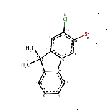 CC1(C)c2ccccc2-c2cc(Br)c(Cl)cc21